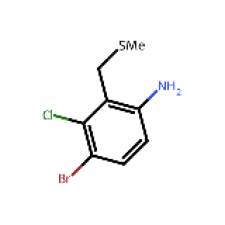 CSCc1c(N)ccc(Br)c1Cl